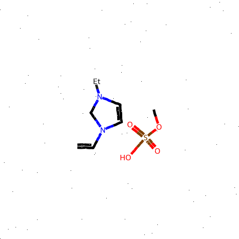 C=CN1C=CN(CC)C1.COS(=O)(=O)O